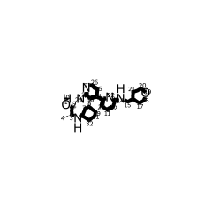 COC[C@@H](C)N[C@H]1CC[C@H](c2ccc(NCC3CCOCC3)nc2-c2ccnc(N)c2)CC1